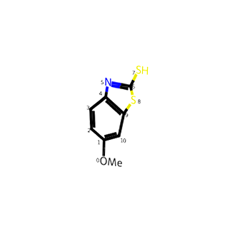 COc1ccc2nc(S)sc2c1